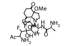 COC12CCN(C(=O)[C@H](C)NC(=O)[C@H](C)N)[C@@]1(C(=O)NC(C(C)C)C(O)(F)C(F)C(N)C(C)=O)C(=O)CCC2=O